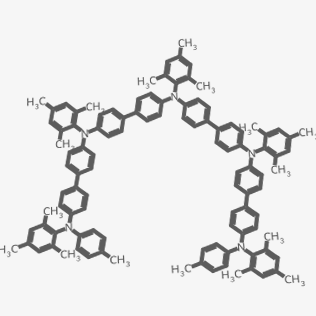 Cc1ccc(N(c2ccc(-c3ccc(N(c4ccc(-c5ccc(N(c6ccc(-c7ccc(N(c8ccc(-c9ccc(N(c%10ccc(C)cc%10)c%10c(C)cc(C)cc%10C)cc9)cc8)c8c(C)cc(C)cc8C)cc7)cc6)c6c(C)cc(C)cc6C)cc5)cc4)c4c(C)cc(C)cc4C)cc3)cc2)c2c(C)cc(C)cc2C)cc1